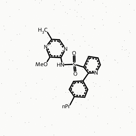 CCCc1ccc(-c2ncccc2S(=O)(=O)Nc2ncc(C)nc2OC)cc1